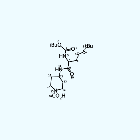 CC(C)COC(=O)NC(CSSC(C)(C)C)C(=O)NC1CCN(C(=O)O)CC1